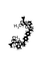 CCC[C@@H](NC(=O)C1CC1)C(=O)N1CCC[C@H]1c1ncc(-c2ccc(-c3ccc(-c4cnc([C@@H]5CCCN5C(=O)[C@@H](CCC)NC(=O)C5CC5)s4)cc3)cc2)s1